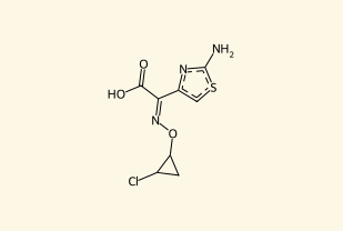 Nc1nc(/C(=N\OC2CC2Cl)C(=O)O)cs1